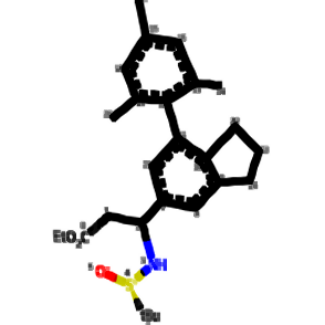 CCOC(=O)CC(N[S@+]([O-])C(C)(C)C)c1cc2c(c(-c3c(C)cc(C)cc3C)c1)CCC2